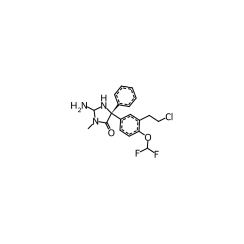 CN1C(=O)[C@@](c2ccccc2)(c2ccc(OC(F)F)c(CCCl)c2)NC1N